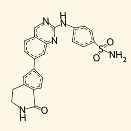 NS(=O)(=O)c1ccc(Nc2ncc3ccc(-c4ccc5c(c4)CCNC5=O)cc3n2)cc1